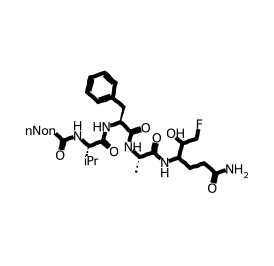 CCCCCCCCCC(=O)N[C@H](C(=O)N[C@@H](Cc1ccccc1)C(=O)N[C@@H](C)C(=O)NC(CCC(N)=O)C(O)CF)C(C)C